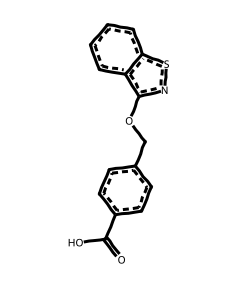 O=C(O)c1ccc(COc2nsc3ccccc23)cc1